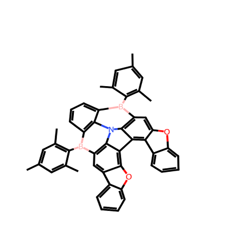 Cc1cc(C)c(B2c3cccc4c3-n3c5c2cc2c6ccccc6oc2c5c2c5c(cc(c23)B4c2c(C)cc(C)cc2C)oc2ccccc25)c(C)c1